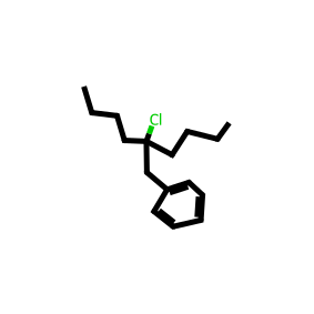 CCCCC(Cl)(CCCC)Cc1ccccc1